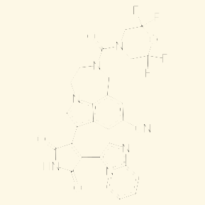 N#Cc1cc2c3c(c1)c(C1=C(c4cnc5ccccn45)C(=O)NC1=O)cn3CCN(C(=O)N1CC(F)(F)OC(F)(F)C1)C2